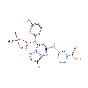 CC(C)(C)OC(=O)N(c1cccc(Cl)c1)c1cc(NC2CCCN(C(=O)O)C2)nc2c(Cl)cnn12